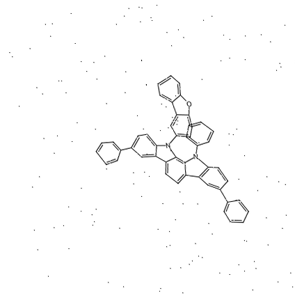 c1ccc(-c2ccc3c(c2)c2ccc4c5cc(-c6ccccc6)ccc5n(-c5ccc6oc7ccccc7c6c5)c4c2n3-c2ccccc2)cc1